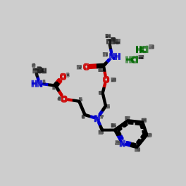 CCCCNC(=O)OCCN(CCOC(=O)NCCCC)Cc1ccccn1.Cl.Cl